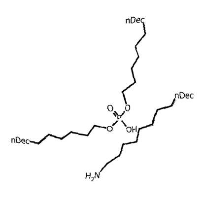 CCCCCCCCCCCCCCCCCCN.CCCCCCCCCCCCCCCCOP(=O)(O)OCCCCCCCCCCCCCCCC